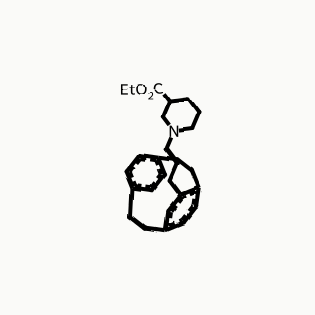 CCOC(=O)C1CCCN(CCCc2cc3ccc2CCc2ccc(cc2)CC3)C1